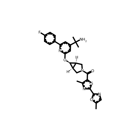 Cc1cnc(-c2nc(C)c(C(=O)N3C[C@@H]4[C@H](C3)[C@@H]4Oc3cc(C(C)(C)N)cc(-c4ccc(F)cc4)n3)s2)o1